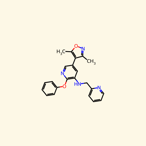 Cc1noc(C)c1-c1cnc(Oc2ccccc2)c(NCc2ccccn2)c1